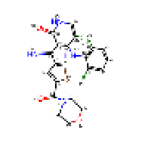 N=C(c1csc(C(=O)N2CCOCC2)c1)c1c(Nc2c(F)cccc2F)c(Cl)c[nH]c1=O